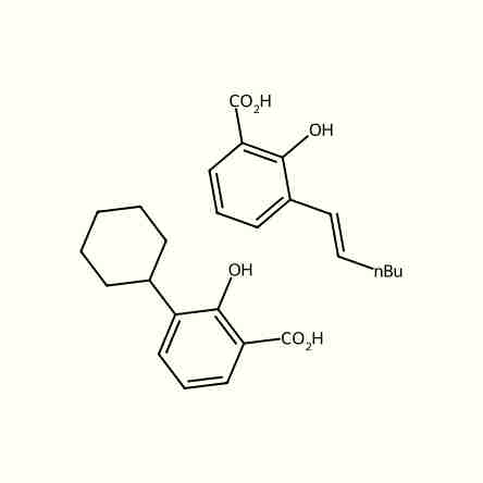 CCCC/C=C/c1cccc(C(=O)O)c1O.O=C(O)c1cccc(C2CCCCC2)c1O